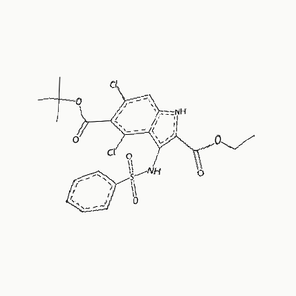 CCOC(=O)c1[nH]c2cc(Cl)c(C(=O)OC(C)(C)C)c(Cl)c2c1NS(=O)(=O)c1ccccc1